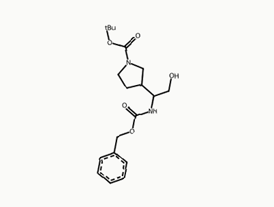 CC(C)(C)OC(=O)N1CCC(C(CO)NC(=O)OCc2ccccc2)C1